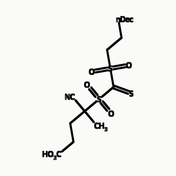 CCCCCCCCCCCCS(=O)(=O)C(=S)S(=O)(=O)C(C)(C#N)CCC(=O)O